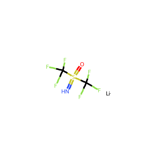 N=S(=O)(C(F)(F)F)C(F)(F)F.[Li]